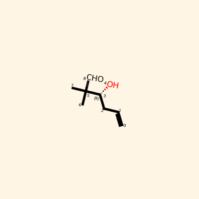 C=CC[C@@H](O)C(C)(C)C=O